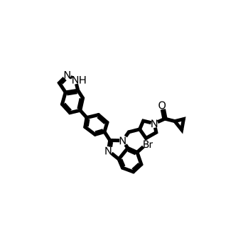 O=C(C1CC1)N1CCC(Cn2c(-c3ccc(-c4ccc5cn[nH]c5c4)cc3)nc3cccc(Br)c32)C1